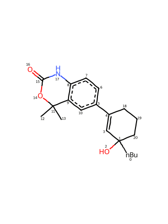 CCCCC1(O)C=C(c2ccc3c(c2)C(C)(C)OC(=O)N3)CCC1